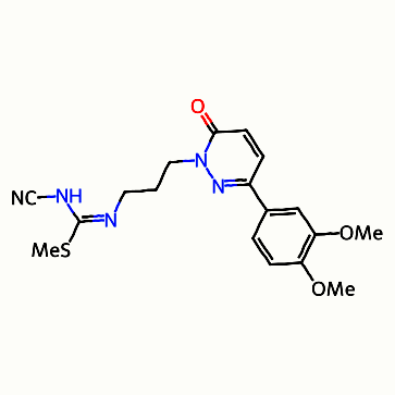 COc1ccc(-c2ccc(=O)n(CCCN=C(NC#N)SC)n2)cc1OC